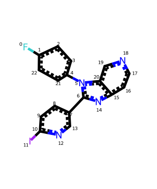 Fc1ccc(-n2c(-c3ccc(I)nc3)nc3ccncc32)cc1